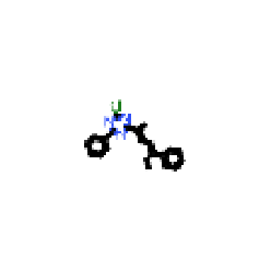 C=C/C(=C\C=C(/C)c1nc(Cl)nc(-c2ccccc2)n1)c1ccccc1